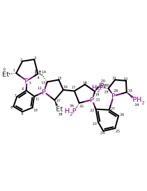 CC[C@@H]1CCCP1c1ccccc1P1[C@H](CC)CC(C2C[C@@H](C(C)C)P(c3ccccc3P3[C@H](P)CC[C@H]3P)[C@@H]2P)[C@H]1CC